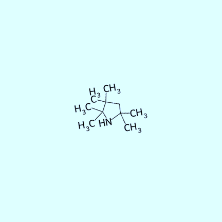 CC1(C)CC(C)(C)C(C)(C)N1